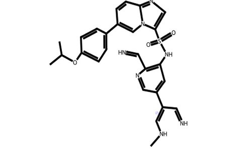 CN/C=C(\C=N)c1cnc(C=N)c(NS(=O)(=O)c2cnc3ccc(-c4ccc(OC(C)C)cc4)cn23)c1